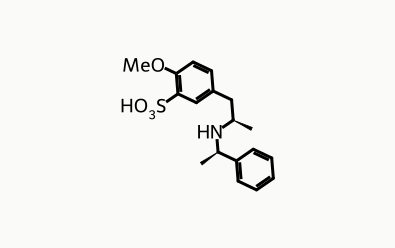 COc1ccc(C[C@@H](C)N[C@H](C)c2ccccc2)cc1S(=O)(=O)O